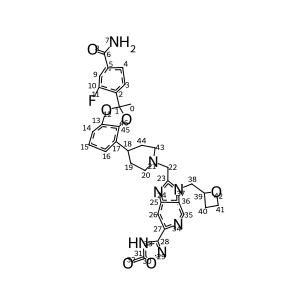 CC1(c2ccc(C(N)=O)cc2F)Oc2cccc(C3CCN(Cc4nc5cc(-c6noc(=O)[nH]6)ncc5n4CC4CCO4)CC3)c2O1